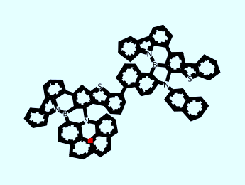 c1ccc2cc(N3c4ccc5c(-c6cccc7c6sc6cc8c9c(c67)N(c6cccc7ccccc67)c6c(ccc7ccccc67)B9n6c7ccccc7c7cccc-8c76)cccc5c4B4c5c(cc6c(sc7ccccc76)c53)-c3cccc5c6ccccc6n4c35)ccc2c1